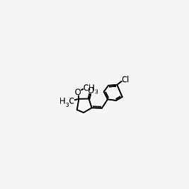 COC1(C)CCC(=Cc2ccc(Cl)cc2)C1=O